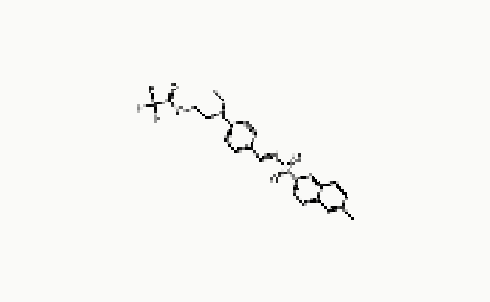 CCN(CCOC(=O)C(F)(F)F)c1ccc(C=NS(=O)(=O)c2ccc3cc(C)ccc3c2)cc1